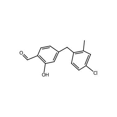 Cc1cc(Cl)ccc1Cc1ccc(C=O)c(O)c1